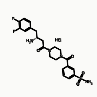 Cl.N[C@@H](CC(=O)N1CCN(C(=O)c2cccc(S(N)(=O)=O)c2)CC1)Cc1ccc(F)c(F)c1